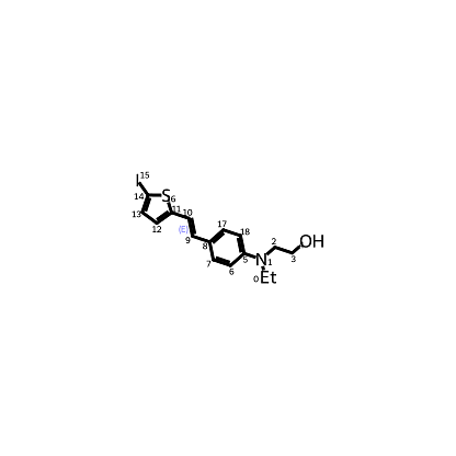 CCN(CCO)c1ccc(/C=C/c2ccc(I)s2)cc1